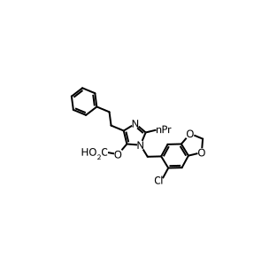 CCCc1nc(CCc2ccccc2)c(OC(=O)O)n1Cc1cc2c(cc1Cl)OCO2